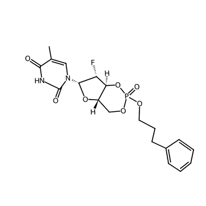 Cc1cn([C@H]2O[C@H]3COP(=O)(OCCCc4ccccc4)O[C@@H]3[C@H]2F)c(=O)[nH]c1=O